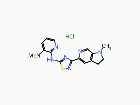 CNc1cccnc1Nc1nc(-c2cc3c(cn2)N(C)CC3)ns1.Cl